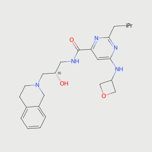 CC(C)Cc1nc(NC2COC2)cc(C(=O)NC[C@H](O)CN2CCc3ccccc3C2)n1